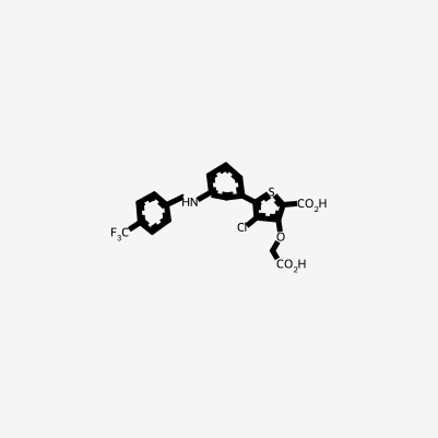 O=C(O)COc1c(C(=O)O)sc(-c2cccc(NCc3ccc(C(F)(F)F)cc3)c2)c1Cl